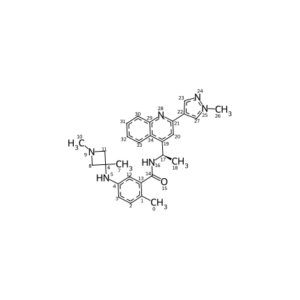 Cc1ccc(NC2(C)CN(C)C2)cc1C(=O)N[C@H](C)c1cc(-c2cnn(C)c2)nc2ccccc12